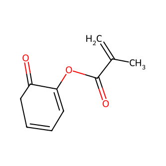 C=C(C)C(=O)OC1=CC=CCC1=O